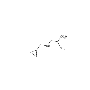 NC(CNCC1CC1)C(=O)O